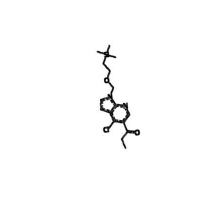 CCC(=O)c1cnc2c(ccn2COCC[Si](C)(C)C)c1Cl